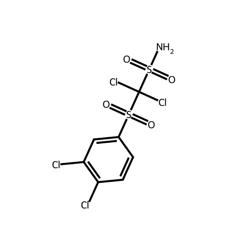 NS(=O)(=O)C(Cl)(Cl)S(=O)(=O)c1ccc(Cl)c(Cl)c1